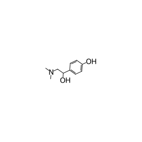 CN(C)CC(O)c1ccc(O)cc1